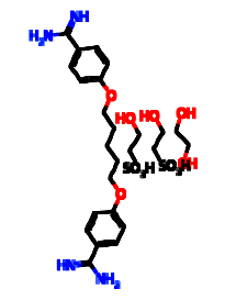 N=C(N)c1ccc(OCCCCCOc2ccc(C(=N)N)cc2)cc1.O=S(=O)(O)CCO.O=S(=O)(O)CCO.OCCO